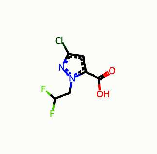 O=C(O)c1cc(Cl)nn1CC(F)F